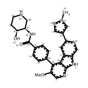 COc1cnc2[nH]c3cnc(-c4cnn(C)c4)cc3c2c1-c1ccc(C(=O)N[C@@H]2CNCC[C@@H]2O)cc1